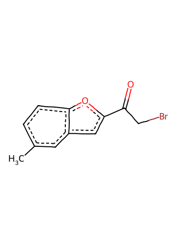 Cc1ccc2oc(C(=O)CBr)cc2c1